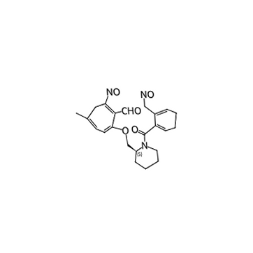 CC1=CC=C(OC[C@@H]2CCCCN2C(=O)C2=CCCC=C2CN=O)C(C=O)=C(N=O)C1